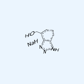 Oc1cccc2[nH]nnc12.[NaH]